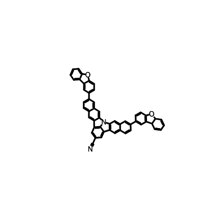 N#Cc1cc2c3cc4ccc(-c5ccc6c(c5)C5C=CC=CC5O6)cc4cc3n3c4cc5cc(-c6ccc7oc8ccccc8c7c6)ccc5cc4c(c1)c23